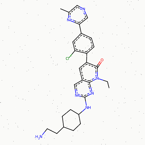 CCn1c(=O)c(-c2ccc(-c3cncc(C)n3)cc2Cl)cc2cnc(NC3CCC(CCN)CC3)nc21